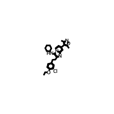 CCOc1ccc(CCc2nc3cc(-c4c(C)noc4C)ccn3c2NC2CCCCC2)cc1Cl